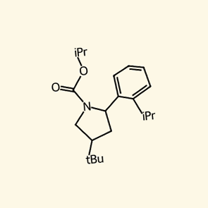 CC(C)OC(=O)N1CC(C(C)(C)C)CC1c1ccccc1C(C)C